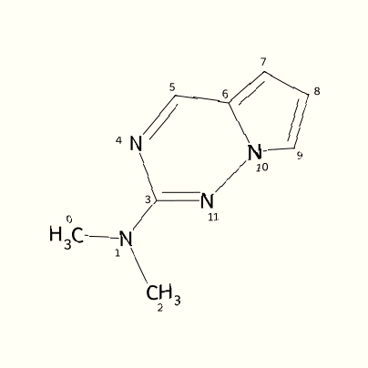 CN(C)c1ncc2cccn2n1